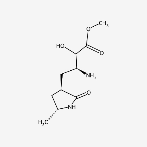 COC(=O)C(O)[C@@H](N)C[C@@H]1C[C@@H](C)NC1=O